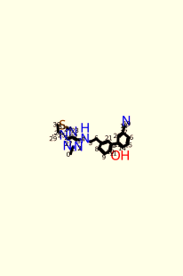 Cc1nc(NCCc2ccc(O)c(-c3cccc(C#N)c3)c2)c2nc3n(c2n1)[C@H](C)CS3